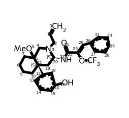 C=CCN1CC2(OC)CCCC[C@@]2(c2cccc(O)c2)C[C@H]1NC(=O)C(=Cc1ccccc1)OC(F)(F)F